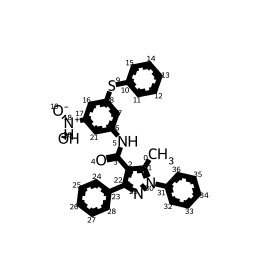 Cc1c(C(=O)Nc2cc(Sc3ccccc3)cc([NH+]([O-])O)c2)c(-c2ccccc2)nn1-c1ccccc1